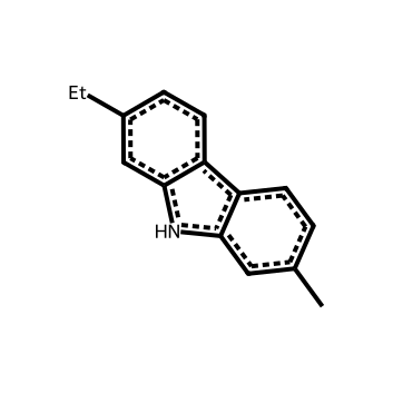 CCc1ccc2c(c1)[nH]c1cc(C)ccc12